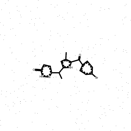 Cc1cc(C(C)c2ccc(=O)[nH]n2)[nH]c1C(=O)c1ccc(Br)cc1